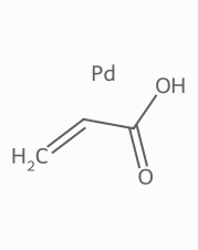 C=CC(=O)O.[Pd]